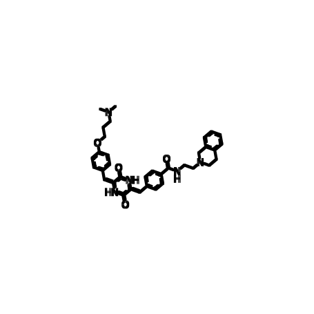 CN(C)CCCOc1ccc(C=c2[nH]c(=O)c(=Cc3ccc(C(=O)NCCN4CCc5ccccc5C4)cc3)[nH]c2=O)cc1